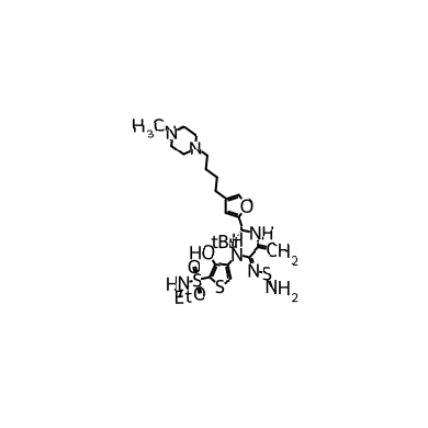 C=C(N[C@@H](c1cc(CCCCN2CCN(C)CC2)co1)C(C)(C)C)/C(=N\SN)Nc1csc(S(=O)(=O)NCC)c1O